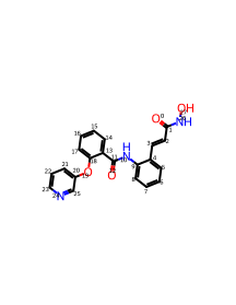 O=C(C=Cc1ccccc1NC(=O)c1ccccc1Oc1cccnc1)NO